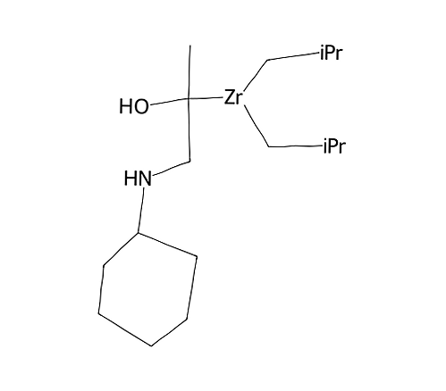 CC(C)[CH2][Zr]([CH2]C(C)C)[C](C)(O)CNC1CCCCC1